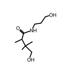 CC(C(=O)NCCCO)C(C)(C)CO